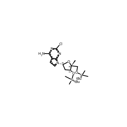 CC(C)(C)[Si](C)(C)OC[C@@]1(C)O[C@@H](n2ccc3c(N)nc(Cl)nc32)C[C@@H]1O[Si](C)(C)C(C)(C)C